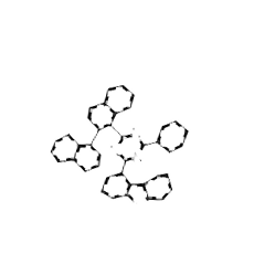 c1ccc(-c2nc(-c3c(-c4cccc5ccccc45)ccc4ccccc34)nc(-c3cccc4oc5ccccc5c34)n2)cc1